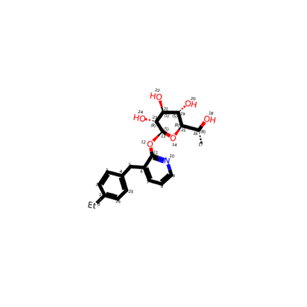 CCc1ccc(Cc2cccnc2O[C@@H]2O[C@H]([C@@H](C)O)[C@@H](O)[C@H](O)[C@H]2O)cc1